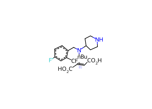 CCCCN(Cc1ccc(F)cc1C(F)(F)F)C1CCNCC1.O=C(O)/C=C/C(=O)O